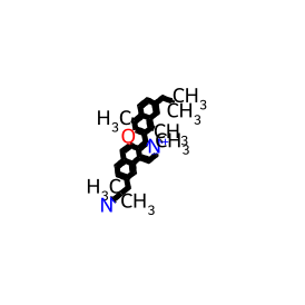 Cc1c2c(c(C)c3cc(CC(C)C)ccc13)-c1c3c(cc4ccc(CC(C)(C)C#N)cc4c3cc[n+]1C)O2